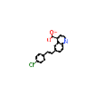 O=C(O)c1ccnc2ccc(C=Cc3ccc(Cl)cc3)cc12